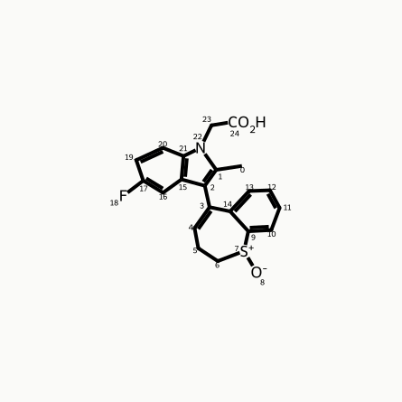 Cc1c(C2=CCC[S+]([O-])c3ccccc32)c2cc(F)ccc2n1CC(=O)O